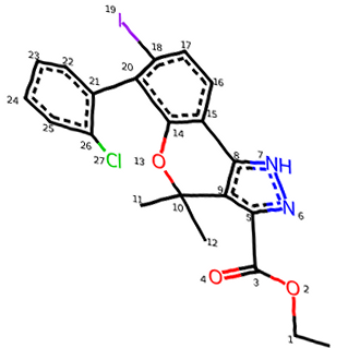 CCOC(=O)c1n[nH]c2c1C(C)(C)Oc1c-2ccc(I)c1-c1ccccc1Cl